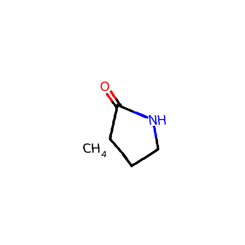 C.O=C1CCCN1